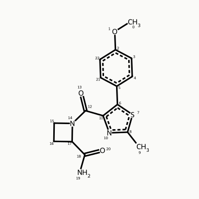 COc1ccc(-c2sc(C)nc2C(=O)N2CCC2C(N)=O)cc1